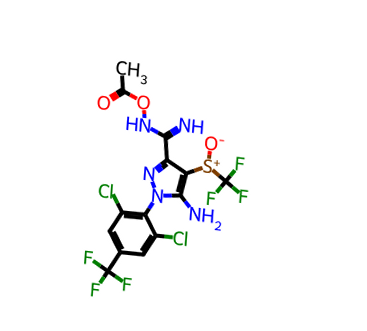 CC(=O)ONC(=N)c1nn(-c2c(Cl)cc(C(F)(F)F)cc2Cl)c(N)c1[S+]([O-])C(F)(F)F